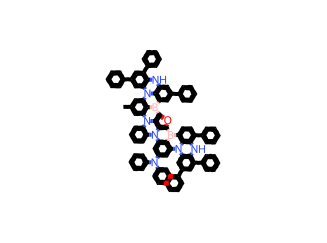 Cc1cc2c3c(c1)N1c4ccccc4N4c5cc(N(c6ccccc6)c6ccccc6)cc6c5B(c5ccc(-c7ccccc7)c7c5N6c5cc(-c6ccccc6)cc(-c6ccccc6)c5N7)c5oc(c1c54)B3c1cc(-c3ccccc3)cc3c1N2c1cc(-c2ccccc2)cc(-c2ccccc2)c1N3